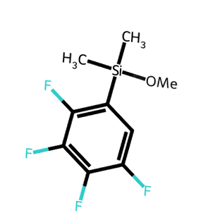 CO[Si](C)(C)c1cc(F)c(F)c(F)c1F